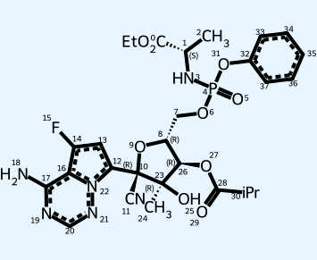 CCOC(=O)[C@H](C)NP(=O)(OC[C@H]1O[C@@](C#N)(c2cc(F)c3c(N)ncnn23)[C@](C)(O)[C@@H]1OC(=O)C(C)C)Oc1ccccc1